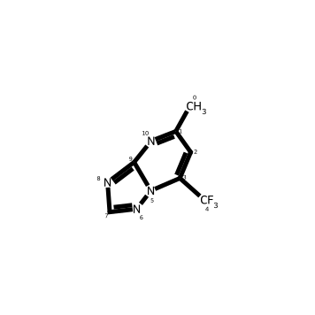 Cc1cc(C(F)(F)F)n2ncnc2n1